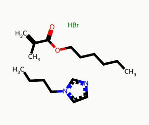 Br.C=C(C)C(=O)OCCCCCC.CCCCn1ccnc1